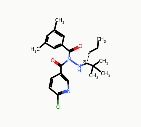 CCC[C@@H](NN(C(=O)c1ccc(Cl)nc1)C(=O)c1cc(C)cc(C)c1)C(C)(C)C